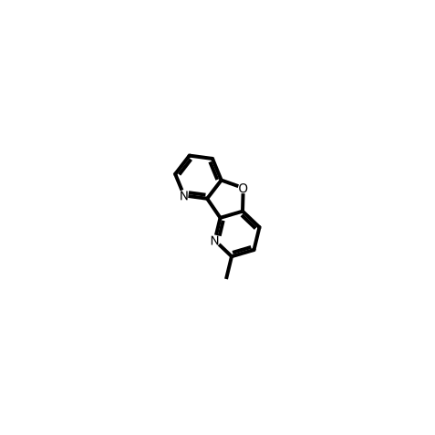 Cc1ccc2oc3cccnc3c2n1